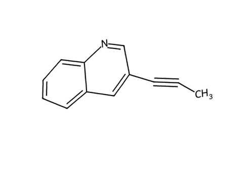 CC#Cc1cnc2ccccc2c1